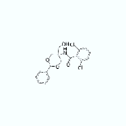 O=C(NC1(CO)COC(c2ccccc2)OC1)c1c(Cl)cccc1Cl